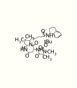 C[C@@H](C(=O)N[C@H]1CC(=O)N[C@H]2CC(C)(C)C(CCCC[S+]([O-])N[C@@H]3CCCc4ccccc43)N2C1=O)N(C)C(=O)OC(C)(C)C